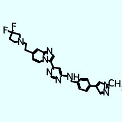 Cn1cc(-c2ccc(CNc3cc(-c4cnc5cc(CCN6CCC(F)(F)C6)ccn45)ncn3)cc2)cn1